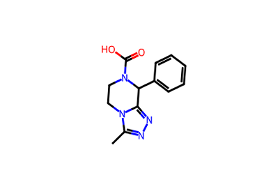 Cc1nnc2n1CCN(C(=O)O)C2c1ccccc1